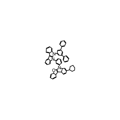 C1=CC2OC3=C(C2C=C1)C1C=CC(C2CCCCC2)=CC1N3c1cccc(-n2c3ccccc3c3c4ccccc4n(-c4cc(-c5ccccc5)cc(-c5ccccc5)c4)c32)c1